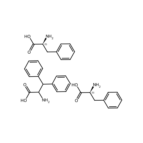 NC(C(=O)O)C(c1ccccc1)c1ccccc1.N[C@@H](Cc1ccccc1)C(=O)O.N[C@@H](Cc1ccccc1)C(=O)O